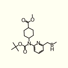 CBCc1cccc(N(C(=O)OC(C)(C)C)C2CCC(C(=O)OC)CC2)n1